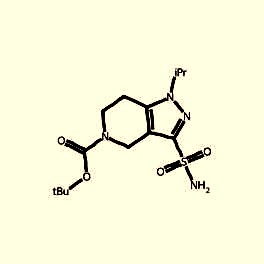 CC(C)n1nc(S(N)(=O)=O)c2c1CCN(C(=O)OC(C)(C)C)C2